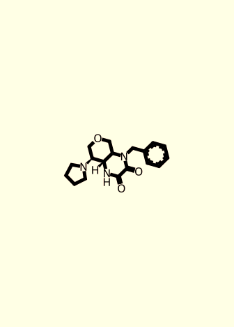 O=C1N[C@H]2C(COC[C@@H]2N2CCCC2)N(Cc2ccccc2)C1=O